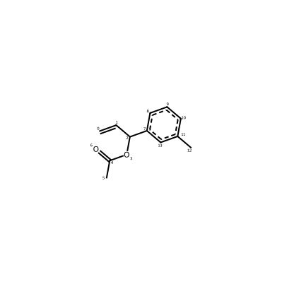 C=CC(OC(C)=O)c1cccc(C)c1